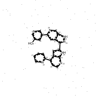 Oc1cncc(-c2cc3c(-c4cc5c(-c6ccccn6)ccnc5[nH]4)n[nH]c3cn2)c1